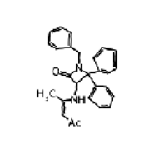 CC(=O)/C=C(/C)NC1C(=O)N(Cc2ccccc2)C1(c1ccccc1)c1ccccc1